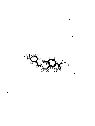 Cc1noc2c3c(ccc12)CN(CC1CCNCC1)CC3